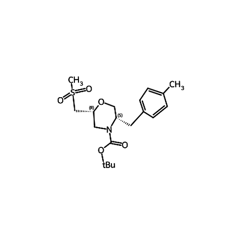 Cc1ccc(C[C@H]2CO[C@@H](CS(C)(=O)=O)CN2C(=O)OC(C)(C)C)cc1